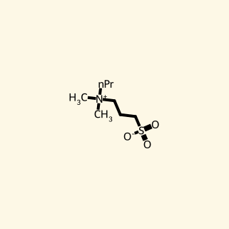 CCC[N+](C)(C)CCCS(=O)(=O)[O-]